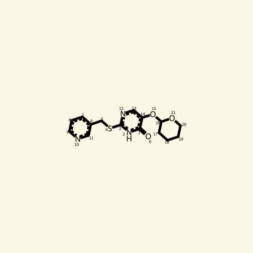 O=c1[nH]c(SCc2cccnc2)ncc1OC1CCCCO1